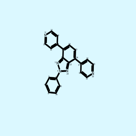 c1ccc(-n2nc3c(-c4ccncc4)ccc(-c4ccncc4)c3n2)cc1